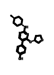 C[C@H]1CC[C@H](Nc2ncc(-c3ccc(O)cc3)c(O[C@@H]3CCOC3)n2)CC1